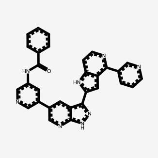 O=C(Nc1cncc(-c2cnc3[nH]nc(-c4cc5c(-c6cccnc6)nccc5[nH]4)c3c2)c1)c1ccccc1